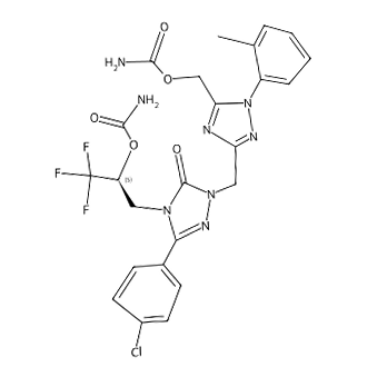 Cc1ccccc1-n1nc(Cn2nc(-c3ccc(Cl)cc3)n(C[C@H](OC(N)=O)C(F)(F)F)c2=O)nc1COC(N)=O